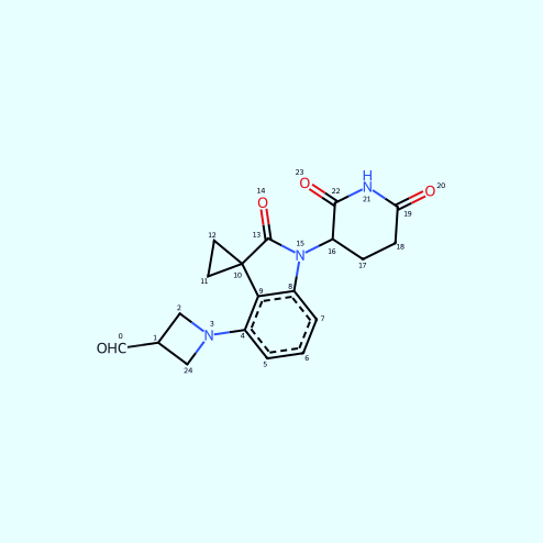 O=CC1CN(c2cccc3c2C2(CC2)C(=O)N3C2CCC(=O)NC2=O)C1